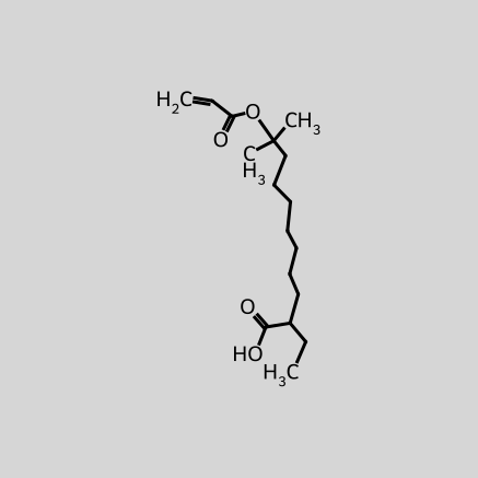 C=CC(=O)OC(C)(C)CCCCCCCC(CC)C(=O)O